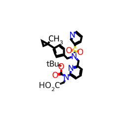 CC(C)(C)OC(=O)N(CC(=O)O)c1cccc(CN(Cc2ccc(C3(C)CC3)cc2)S(=O)(=O)c2cccnc2)n1